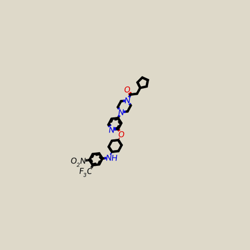 O=C(CC1CCCC1)N1CCN(c2ccnc(O[C@H]3CC[C@H](Nc4ccc([N+](=O)[O-])c(C(F)(F)F)c4)CC3)c2)CC1